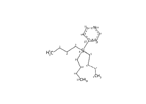 CCCC[Si](CCCC)(CCCC)c1ccncc1